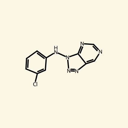 Clc1cccc(Nn2nnc3cncnc32)c1